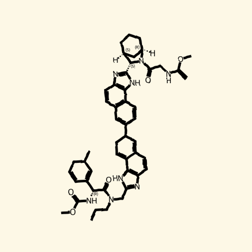 C=C(NCC(=O)N1[C@@H]2CCC[C@@H](C2)[C@H]1c1nc2ccc3cc(C4C=c5ccc6nc(CN(CCC)C(=O)[C@H](NC(=O)OC)C7=CC(C)CC=C7)[nH]c6c5=CC4)ccc3c2[nH]1)OC